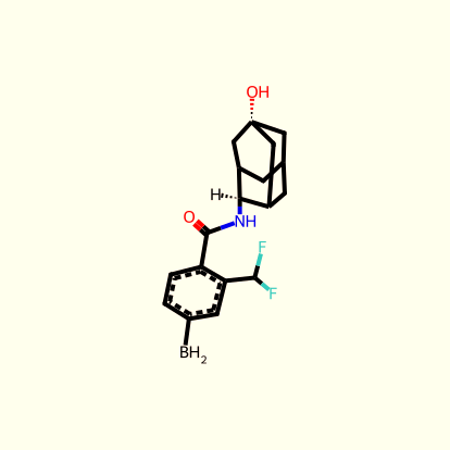 Bc1ccc(C(=O)N[C@H]2C3CC4CC2C[C@](O)(C4)C3)c(C(F)F)c1